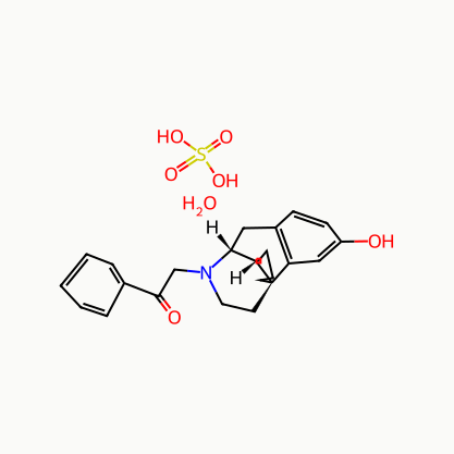 O.O=C(CN1CC[C@]23CCCC[C@H]2[C@H]1Cc1ccc(O)cc13)c1ccccc1.O=S(=O)(O)O